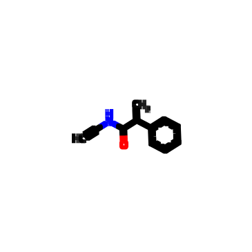 C#CNC(=O)C(=C)c1ccccc1